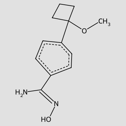 COC1(c2ccc(/C(N)=N/O)cc2)CCC1